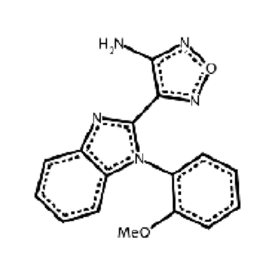 COc1ccccc1-n1c(-c2nonc2N)nc2ccccc21